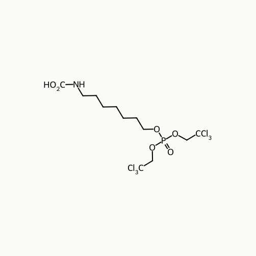 O=C(O)NCCCCCCCOP(=O)(OCC(Cl)(Cl)Cl)OCC(Cl)(Cl)Cl